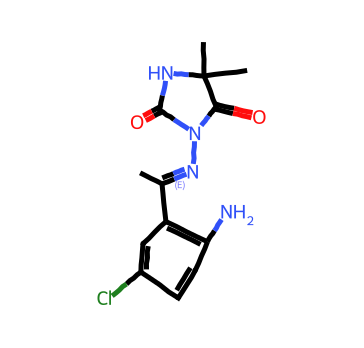 C/C(=N\N1C(=O)NC(C)(C)C1=O)c1cc(Cl)ccc1N